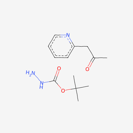 CC(=O)Cc1ccccn1.CC(C)(C)OC(=O)NN